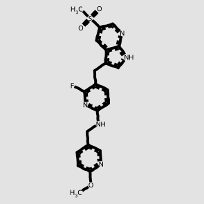 COc1ccc(CNc2ccc(Cc3c[nH]c4ncc(S(C)(=O)=O)cc34)c(F)n2)cn1